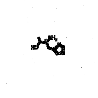 CC(O)[C@@H](N)Cc1cscn1